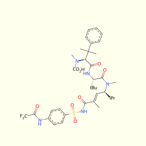 C/C(=C\[C@H](C(C)C)N(C)C(=O)[C@@H](NC(=O)[C@@H](N(C)C(=O)O)C(C)(C)c1ccccc1)C(C)(C)C)C(=O)NS(=O)(=O)c1ccc(NC(=O)C(F)(F)F)cc1